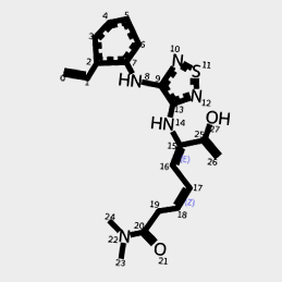 C=Cc1ccccc1Nc1nsnc1N/C(=C/C=C\CC(=O)N(C)C)C(=C)O